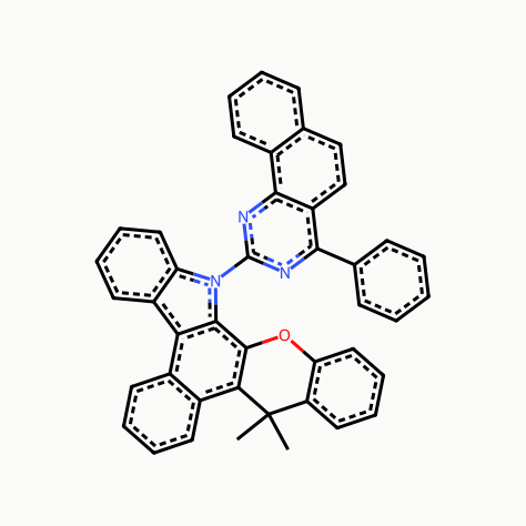 CC1(C)c2ccccc2Oc2c1c1ccccc1c1c3ccccc3n(-c3nc(-c4ccccc4)c4ccc5ccccc5c4n3)c21